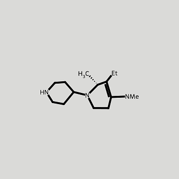 CCC1=C(NC)CCN(C2CCNCC2)[C@@H]1C